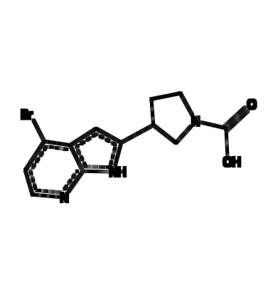 O=C(O)N1CCC(c2cc3c(Br)ccnc3[nH]2)C1